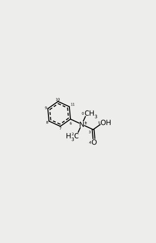 C[N+](C)(C(=O)O)c1ccccc1